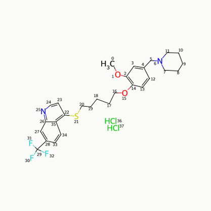 COc1cc(CN2CCCCC2)ccc1OCCCCCSc1ccnc2cc(C(F)(F)F)ccc12.Cl.Cl